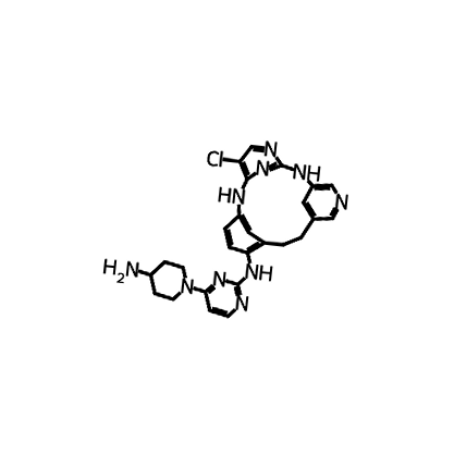 NC1CCN(c2ccnc(Nc3ccc4cc3CCc3cncc(c3)Nc3ncc(Cl)c(n3)N4)n2)CC1